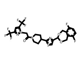 O=C(Cn1nc(C(F)(F)F)cc1C(F)(F)F)N1CCC(c2nc(C3OCc4c(F)ccc(F)c4CO3)cs2)CC1